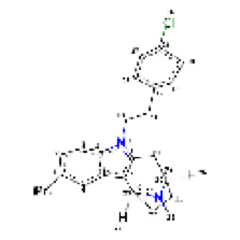 CC(C)c1ccc2c(c1)c1c(n2CCc2ccc(Cl)cc2)C[C@H]2CC[C@@H]1N2C